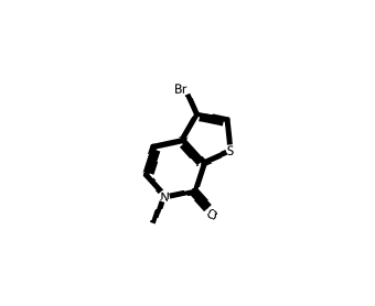 Cn1ccc2c(Br)csc2c1=O